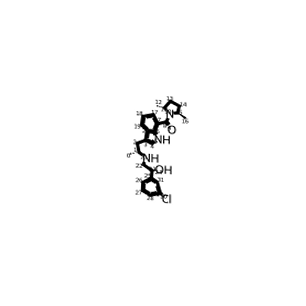 C[C@H](Cc1c[nH]c2c(C(=O)N3[C@H](C)CC[C@H]3C)cccc12)NC[C@H](O)c1cccc(Cl)c1